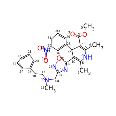 COC(=O)C1=C(C)NC(C)=C(c2nc(CN(C)CCc3ccccc3)no2)C1c1cccc([N+](=O)[O-])c1